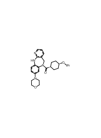 CC(C)O[C@H]1CC[C@@H](C(=O)N2Cc3cccnc3Nc3ccc(N4CCOCC4)cc32)CC1